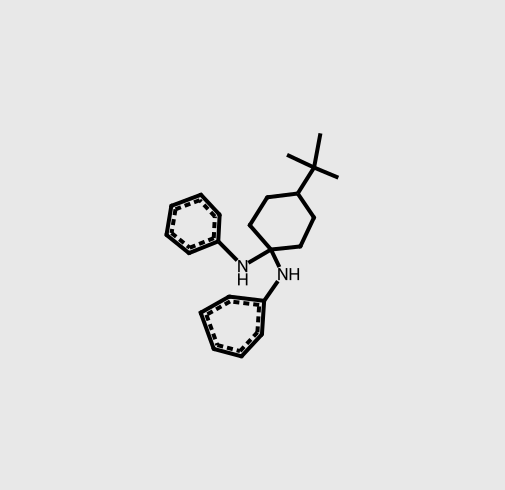 CC(C)(C)C1CCC(Nc2ccccc2)(Nc2ccccc2)CC1